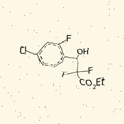 CCOC(=O)C(F)(F)C(O)c1ccc(Cl)cc1F